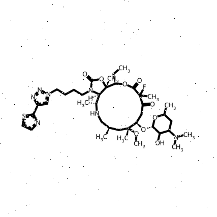 CC[C@H]1OC(=O)C(C)(F)C(=O)C[C@@H](O[C@@H]2OC(C)CC(N(C)C)C2O)[C@](C)(OC)C[C@@H](C)CN[C@H](C)[C@H]2N(CCCCn3cc(-c4nccs4)nn3)C(=O)O[C@]12C